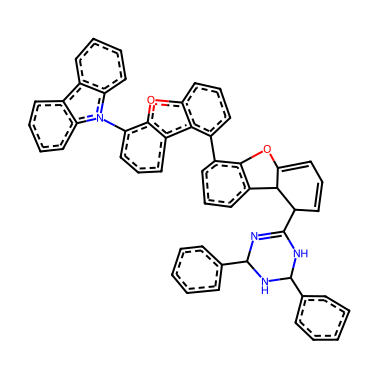 C1=CC(C2=NC(c3ccccc3)NC(c3ccccc3)N2)C2C(=C1)Oc1c(-c3cccc4oc5c(-n6c7ccccc7c7ccccc76)cccc5c34)cccc12